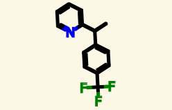 CC(c1ccc(C(F)(F)F)cc1)c1ccccn1